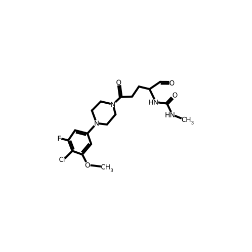 CNC(=O)NC(C=O)CCC(=O)N1CCN(c2cc(F)c(Cl)c(OC)c2)CC1